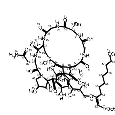 CCC(C)[C@@H]1NC(=O)CNC(=O)[C@@H]2Cc3c([nH]c4cc(O)ccc34)[S@+]([O-])C[C@H](NC(=O)CNC1=O)C(=O)N[C@@H](CC(N)=O)C(=O)N1CC(O)C[C@H]1C(=O)N[C@@H](C(C)[C@@H](O)CO)C(=O)N2.CCCCCCCC/C=C\CCCCCCCC(=O)O